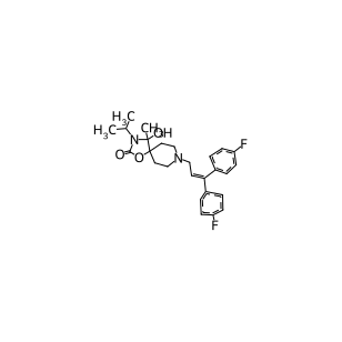 CC(C)N1C(=O)OC2(CCN(CC=C(c3ccc(F)cc3)c3ccc(F)cc3)CC2)C1(C)O